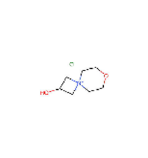 OC1C[N+]2(CCOCC2)C1.[Cl-]